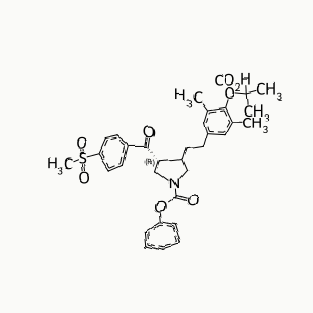 Cc1cc(CCC2CN(C(=O)Oc3ccccc3)C[C@@H]2C(=O)c2ccc(S(C)(=O)=O)cc2)cc(C)c1OC(C)(C)C(=O)O